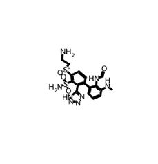 CNc1cccc(-c2ccc([S+]([O-])CCN)c(S(N)(=O)=O)c2-c2nnn[nH]2)c1NC=O